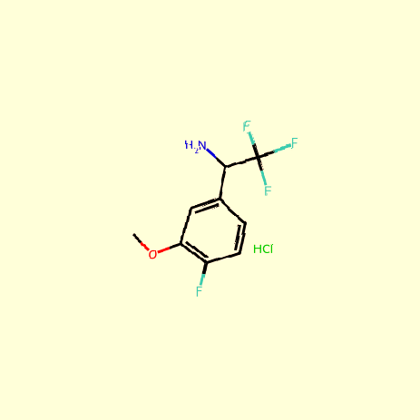 COc1cc(C(N)C(F)(F)F)ccc1F.Cl